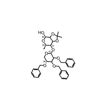 C[C@H]1O[C@@H](O)C2OC(C)(C)OC2[C@H]1O[C@@H]1OC[C@@H](OCc2ccccc2)C(OCc2ccccc2)C1OCc1ccccc1